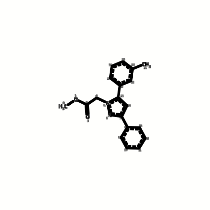 COC(=O)Cn1nc(-c2ccccc2)cc1-c1cccc(C)c1